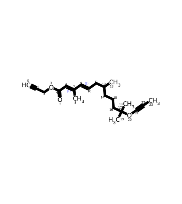 C#CCOC(=O)/C=C(C)/C=C/CC(C)CCCC(C)(C)OC#CC